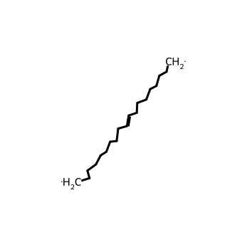 [CH2]CCCCCCCC=CCCCCCCCC[CH2]